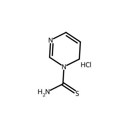 Cl.NC(=S)N1C=NC=CC1